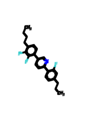 CCCCc1ccc(-c2ccc(-c3ccc(CCC)cc3F)nc2)c(F)c1F